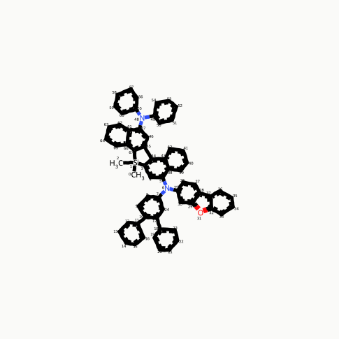 C[Si]1(C)c2cc(N(c3ccc(-c4ccccc4)c(-c4ccccc4)c3)c3ccc4c(c3)oc3ccccc34)c3ccccc3c2-c2cc(N(c3ccccc3)c3ccccc3)c3ccccc3c21